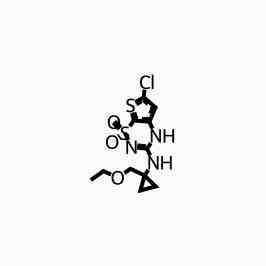 CCOCC1(NC2=NS(=O)(=O)c3sc(Cl)cc3N2)CC1